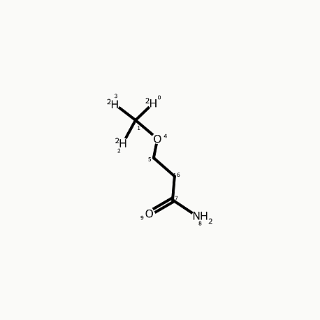 [2H]C([2H])([2H])OC[CH]C(N)=O